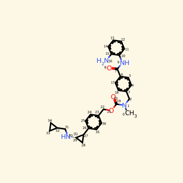 CN(Cc1ccc(C(=O)Nc2ccccc2N)cc1)C(=O)OCc1ccc(C2C[C@@H]2NCC2CC2)cc1